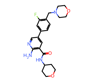 Nc1ncc(-c2ccc(CN3CCOCC3)c(F)c2)cc1C(=O)NC1CCOCC1